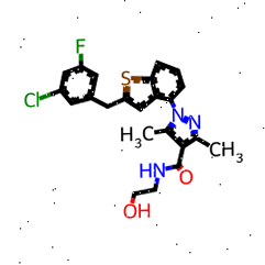 Cc1nn(-c2cccc3sc(Cc4cc(F)cc(Cl)c4)cc23)c(C)c1C(=O)NCCO